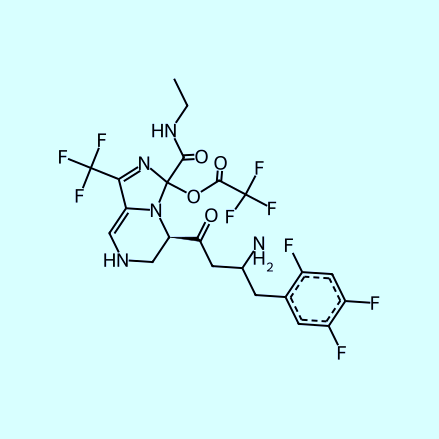 CCNC(=O)C1(OC(=O)C(F)(F)F)N=C(C(F)(F)F)C2=CNC[C@H](C(=O)CC(N)Cc3cc(F)c(F)cc3F)N21